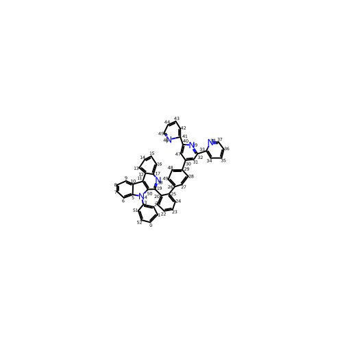 c1ccc(-n2c3ccccc3c3c4ccccc4nc(-c4ccccc4-c4ccc(-c5cc(-c6ccccn6)nc(-c6ccccn6)c5)cc4)c32)cc1